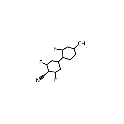 CC1CCC(C2CC(F)C(C#N)C(F)C2)C(F)C1